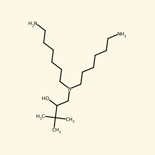 CC(C)(C)C(O)CN(CCCCCCN)CCCCCCN